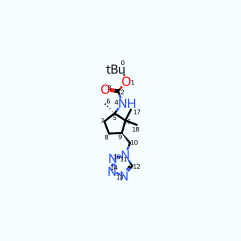 CC(C)(C)OC(=O)N[C@]1(C)CC[C@H](Cn2cnnn2)C1(C)C